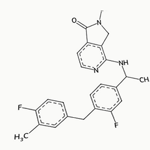 CCN1Cc2c(ccnc2NC(C)c2ccc(Cc3ccc(F)c(C)c3)c(F)c2)C1=O